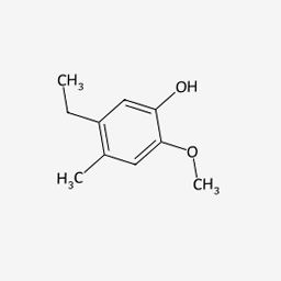 CCc1cc(O)c(OC)cc1C